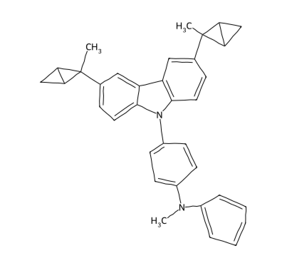 CN(c1ccccc1)c1ccc(-n2c3ccc(C4(C)C5CC54)cc3c3cc(C4(C)C5CC54)ccc32)cc1